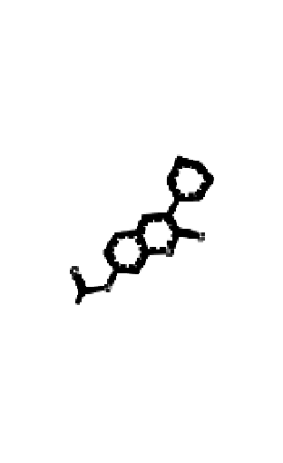 CC(=O)Oc1ccc2cc(-c3cc[c]cc3)c(=O)oc2c1